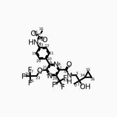 CC(O)(CNC(=O)c1nc(-c2ccc(NS(C)(=O)=O)cc2)c(OCC(F)(F)F)nc1C(F)(F)F)C1CC1